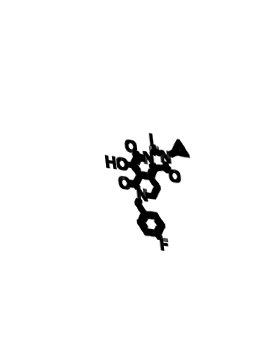 O=C1c2c(c3n(c(=O)c2O)[C@@H](I)N(C2CC2)C3=O)CCN1Cc1ccc(F)cc1